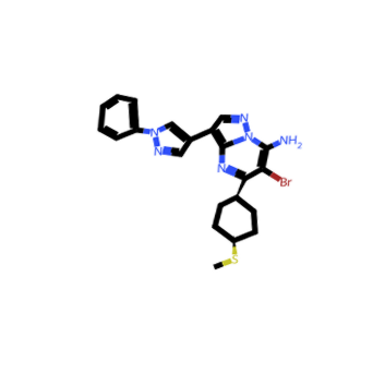 CS[C@H]1CC[C@@H](c2nc3c(-c4cnn(-c5ccccc5)c4)cnn3c(N)c2Br)CC1